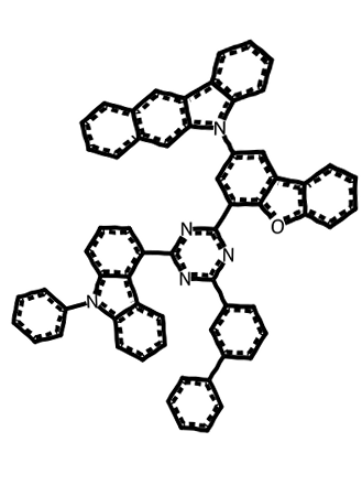 c1ccc(-c2cccc(-c3nc(-c4cc(-n5c6ccccc6c6cc7ccccc7cc65)cc5c4oc4ccccc45)nc(-c4cccc5c4c4ccccc4n5-c4ccccc4)n3)c2)cc1